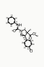 COC(=O)C1(C)CN(C(=O)Nc2ccccc2)N=C1c1ccc(Cl)cc1